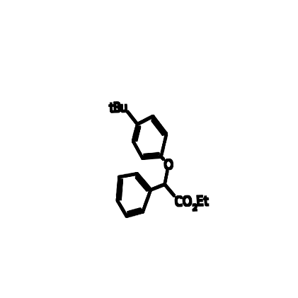 CCOC(=O)C(Oc1ccc(C(C)(C)C)cc1)c1ccccc1